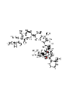 Nc1nnc(-c2ccccc2O)cc1N1CC2CCC(C1)N2c1cccc(CN2CCN(C(=O)C3CCN(c4ccc5c(c4)C(=O)N(C4CCC(=O)NC4=O)C5=O)CC3)CC2)n1